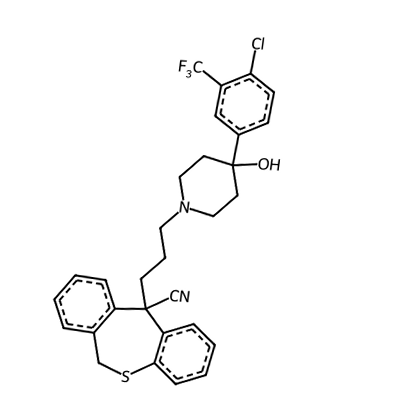 N#CC1(CCCN2CCC(O)(c3ccc(Cl)c(C(F)(F)F)c3)CC2)c2ccccc2CSc2ccccc21